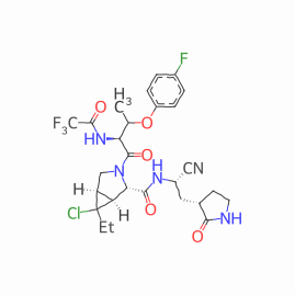 CCC1(Cl)[C@@H]2[C@@H](C(=O)N[C@H](C#N)C[C@@H]3CCNC3=O)N(C(=O)[C@@H](NC(=O)C(F)(F)F)C(C)Oc3ccc(F)cc3)C[C@@H]21